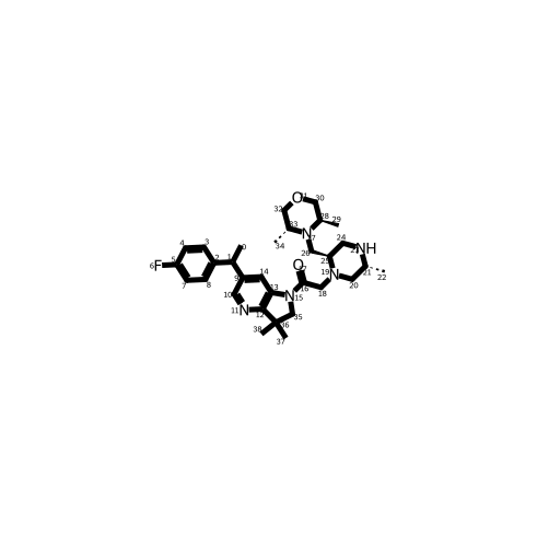 CC(c1ccc(F)cc1)c1cnc2c(c1)N(C(=O)CN1C[C@@H](C)NC[C@@H]1CN1[C@H](C)COC[C@H]1C)CC2(C)C